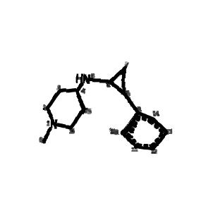 CN1CCC(NC2CC2c2ccccc2)CC1